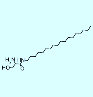 CCCCCCCCCCCCCCCCCCNC(=O)C(N)CO